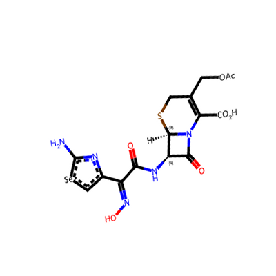 CC(=O)OCC1=C(C(=O)O)N2C(=O)[C@@H](NC(=O)C(=NO)c3c[se]c(N)n3)[C@H]2SC1